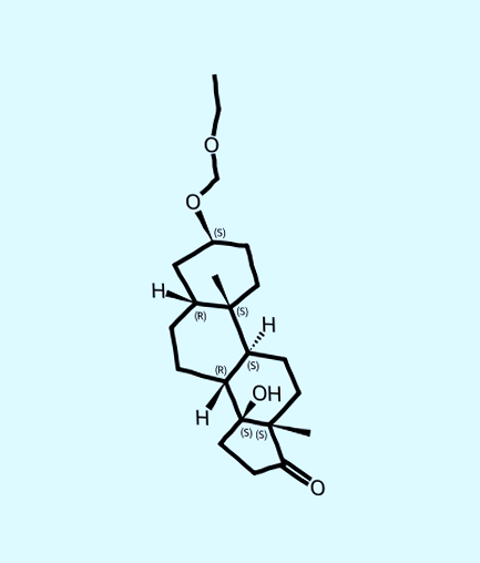 CCOCO[C@H]1CC[C@@]2(C)[C@H](CC[C@@H]3[C@@H]2CC[C@]2(C)C(=O)CC[C@]32O)C1